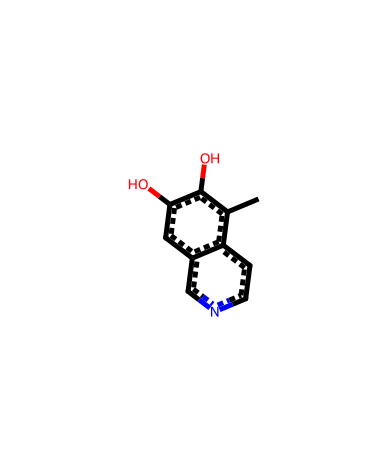 Cc1c(O)c(O)cc2cnccc12